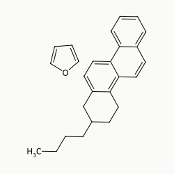 CCCCC1CCc2c(ccc3c2ccc2ccccc23)C1.c1ccoc1